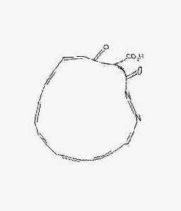 O=C(O)C1C(=O)C=CC=CC=CC=CC=CC=CC=CN=NC1=O